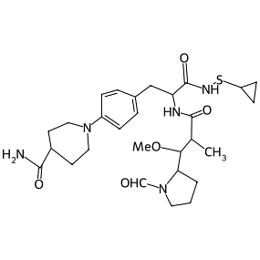 COC(C(C)C(=O)NC(Cc1ccc(N2CCC(C(N)=O)CC2)cc1)C(=O)NSC1CC1)C1CCCN1C=O